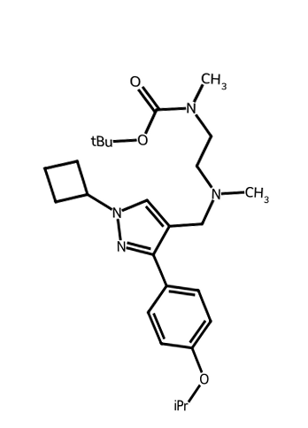 CC(C)Oc1ccc(-c2nn(C3CCC3)cc2CN(C)CCN(C)C(=O)OC(C)(C)C)cc1